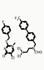 CCN(CC)CCN(C=O)Cc1ccc(-c2ccc(C(F)(F)F)cc2)cc1.Cn1cc(Cl)c(=O)nc1SCc1ccc(F)cc1